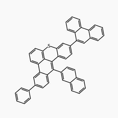 c1ccc(-c2ccc3c(-c4ccc5ccccc5c4)c4c5c(cccc5c3c2)Sc2cc(-c3cc5ccccc5c5ccccc35)ccc2-4)cc1